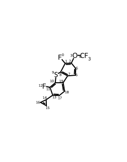 Fc1c(OC(F)(F)F)ccc2c1sc1c(F)c(C3C=C3)ccc12